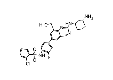 CCc1cc(-c2ccc(NS(=O)(=O)c3ccccc3Cl)c(F)c2)cc2cnc(N[C@@H]3CCC[C@@H](N)C3)nc12